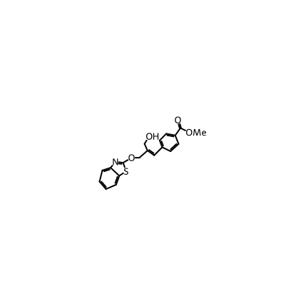 COC(=O)c1ccc(C=C(CO)COc2nc3ccccc3s2)cc1